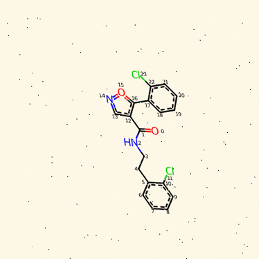 O=C(NCCc1ccccc1Cl)c1cnoc1-c1ccccc1Cl